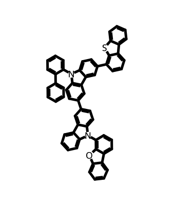 c1ccc(-c2ccccc2-n2c3ccc(-c4ccc5c(c4)c4ccccc4n5-c4cccc5c4oc4ccccc45)cc3c3cc(-c4cccc5c4sc4ccccc45)ccc32)cc1